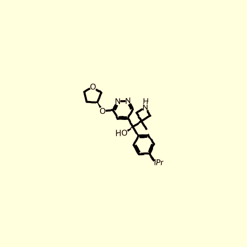 CC(C)c1ccc([C@](O)(c2cnnc(O[C@H]3CCOC3)c2)C2(C)CNC2)cc1